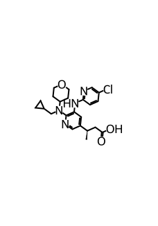 C[C@H](CC(=O)O)c1cnc(N(CC2CC2)C2CCOCC2)c(Nc2ccc(Cl)cn2)c1